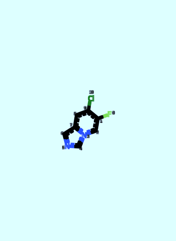 Fc1cn2cncc2cc1Cl